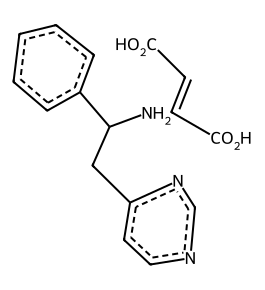 NC(Cc1ccncn1)c1ccccc1.O=C(O)C=CC(=O)O